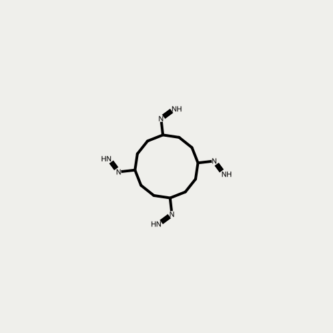 N=NC1CCC(N=N)CCC(N=N)CCC(N=N)CC1